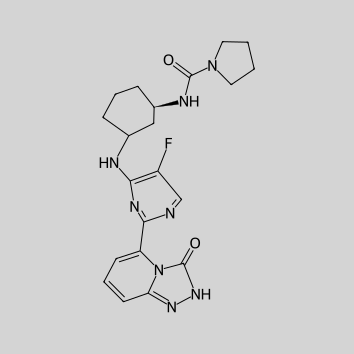 O=C(N[C@@H]1CCCC(Nc2nc(-c3cccc4n[nH]c(=O)n34)ncc2F)C1)N1CCCC1